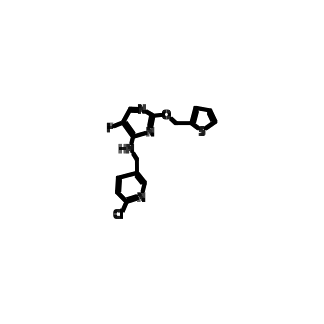 Fc1cnc(OCc2cccs2)nc1NCc1ccc(Cl)nc1